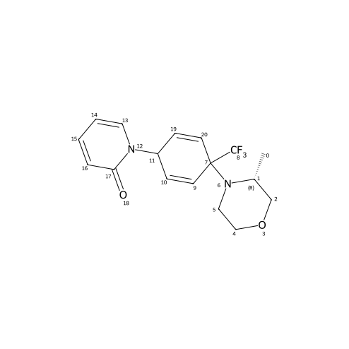 C[C@@H]1COCCN1C1(C(F)(F)F)C=CC(n2ccccc2=O)C=C1